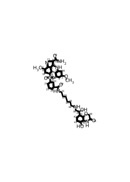 COc1cccc(Nc2c(C(N)=O)cnc3c(C)cc(S(=O)(=O)c4cccc(C(=O)NCCCCCCNC[C@H](O)c5ccc(O)c6c5OCC(=O)N6)c4)cc23)c1